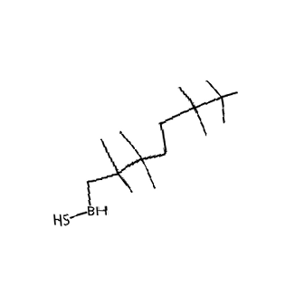 CC(C)(C)C(C)(C)CCC(C)(C)C(C)(C)CBS